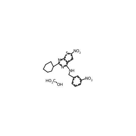 O=C(O)O.O=[N+]([O-])c1cccc(CNc2nc(C3CCCCC3)nc3sc([N+](=O)[O-])cc23)c1